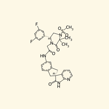 CC1(C)C(=O)N(CC(=O)Nc2ccc3c(c2)C[C@@]2(C3)C(=O)Nc3ncccc32)[C@H](c2cc(F)cc(F)c2)CN1S(C)(=O)=O